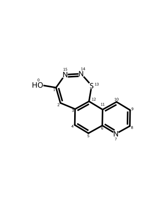 OC1=Cc2ccc3ncccc3c2SN=N1